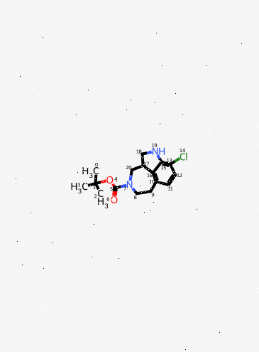 CC(C)(C)OC(=O)N1CCc2ccc(Cl)c3c2C(CN3)C1